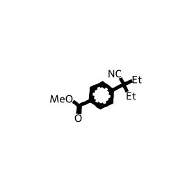 CCC(C#N)(CC)c1ccc(C(=O)OC)cc1